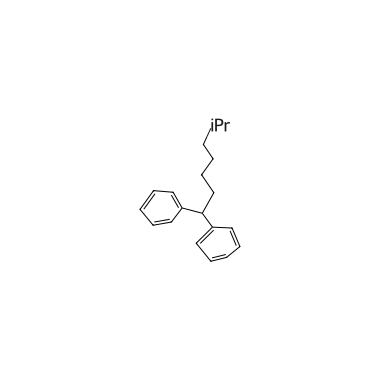 CC(C)CCCCC(c1ccccc1)c1ccccc1